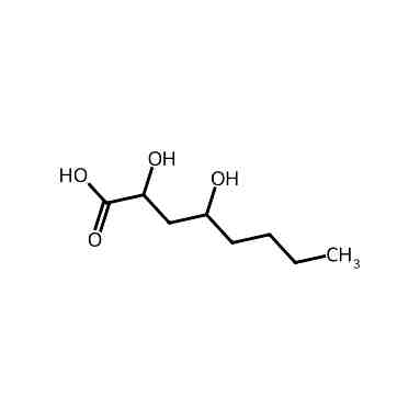 CCCCC(O)CC(O)C(=O)O